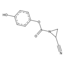 N#CC1CN1C(=O)Oc1ccc(O)cc1